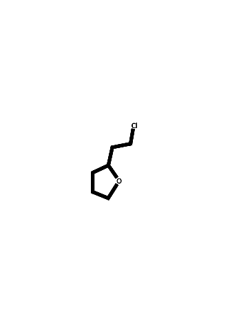 ClCCC1CCCO1